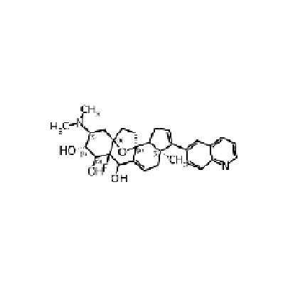 CN(C)[C@H]1C[C@@]23CC[C@@]4(O2)C(=CC[C@]2(C)C(c5ccc6ncccc6c5)=CCC24)C(O)C3(F)[C@@H](O)[C@@H]1O